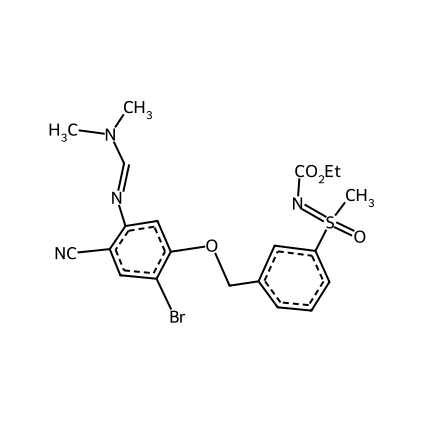 CCOC(=O)N=S(C)(=O)c1cccc(COc2cc(N=CN(C)C)c(C#N)cc2Br)c1